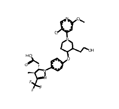 COc1cc(N2CCC(Oc3ccc(N4N=C(C(F)(F)F)[C@@H](C)[C@@H]4CC(=O)O)cc3)C(CCO)C2)c(Cl)cn1